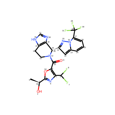 C[C@H](O)c1nc(C(F)F)c(C(=O)N2CCc3[nH]cnc3[C@@H]2c2cc3cccc(C(F)(F)F)n3n2)o1